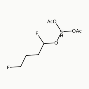 CC(=O)O[SiH](OC(C)=O)OC(F)CCCF